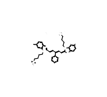 O=S(=O)(O)CCCCN1C(=CC=C(C=Cc2sc3ccc(Cl)cc3[n+]2CCCCS(=O)(=O)O)c2ccccc2)Sc2ccc(Cl)cc21.[OH-]